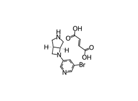 Brc1cncc(N2C[C@H]3CNC[C@H]32)c1.O=C(O)/C=C/C(=O)O